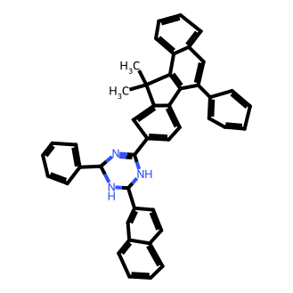 CC1(C)c2cc(C3=NC(c4ccccc4)NC(c4ccc5ccccc5c4)N3)ccc2-c2c(-c3ccccc3)cc3ccccc3c21